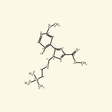 COC(=O)c1nc(-c2cc(OC)ncc2F)n(COCC[Si](C)(C)C)n1